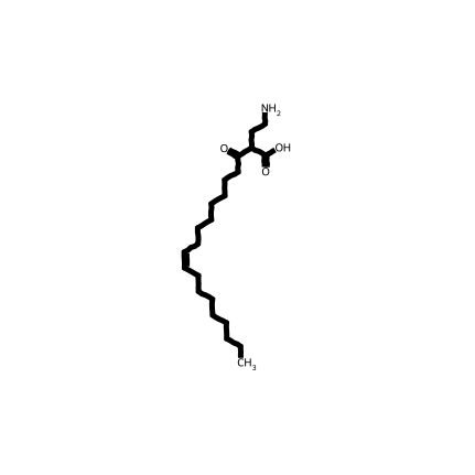 CCCCCCCC/C=C\CCCCCCCC(=O)C(CCN)C(=O)O